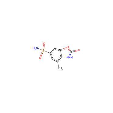 Cc1cc(S(N)(=O)=O)cc2oc(=O)[nH]c12